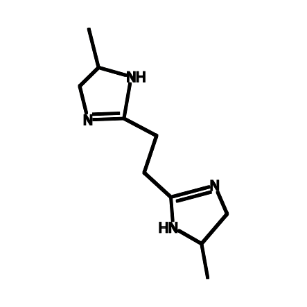 CC1CN=C(CCC2=NCC(C)N2)N1